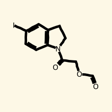 O=COCC(=O)N1CCc2cc(I)ccc21